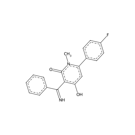 Cn1c(-c2ccc(F)cc2)cc(O)c(C(=N)c2ccccc2)c1=O